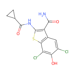 NC(=O)c1c(NC(=O)C2CC2)sc2c(Cl)c(O)c(Cl)cc12